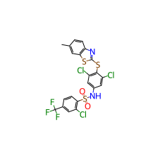 Cc1ccc2nc(Sc3c(Cl)cc(NS(=O)(=O)c4ccc(C(F)(F)F)cc4Cl)cc3Cl)sc2c1